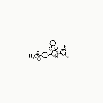 CS(=O)(=O)N1CCN(c2cnn(-c3cc(F)cc(F)c3)c(=O)c2OC2CCCCC2)CC1